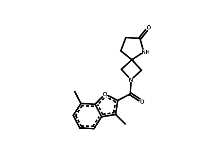 Cc1c(C(=O)N2CC3(CCC(=O)N3)C2)oc2c(C)cccc12